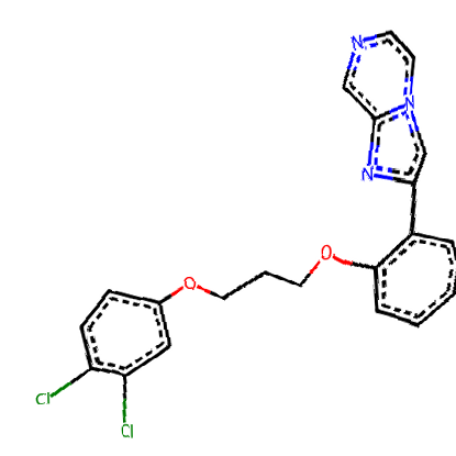 Clc1ccc(OCCCOc2ccccc2-c2cn3ccncc3n2)cc1Cl